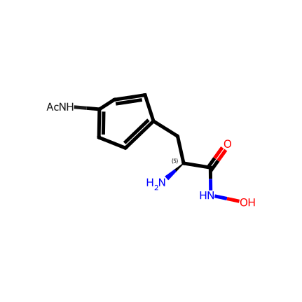 CC(=O)Nc1ccc(C[C@H](N)C(=O)NO)cc1